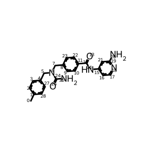 Cc1ccc(CN(Cc2ccc(C(=O)Nc3ccnc(N)c3)cc2)C(N)=O)cc1